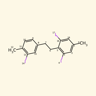 Cc1cc(I)c(CCc2ccc(C)c(I)c2)c(I)c1